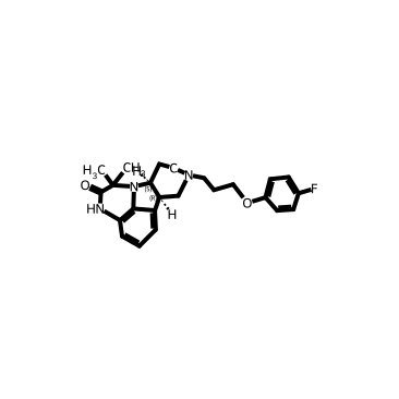 CC1(C)C(=O)Nc2cccc3c2N1[C@H]1CCN(CCCOc2ccc(F)cc2)C[C@@H]31